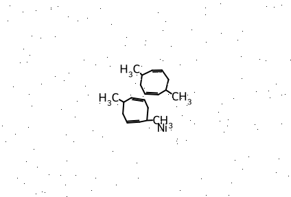 CC1/C=C\CC(C)/C=C\C1.CC1/C=C\CC(C)/C=C\C1.[Ni]